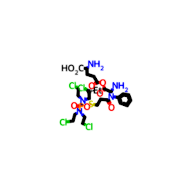 CC[C@@H](Cl)CN(CCCl)P(=O)(OSCCC(=O)N(c1ccccc1)C(N)C(=O)OC(=O)CCC(N)C(=O)O)N(CCCl)CCCl